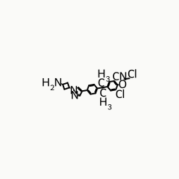 CC(C)(c1ccc(-c2cnn([C@H]3C[C@H](N)C3)c2)cc1)c1cc(Cl)c(OCCCl)c(C#N)c1